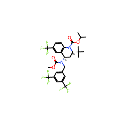 COC(=O)N(Cc1cc(C(F)(F)F)cc(C(F)(F)F)c1)[C@H]1C[C@@H](C(C)(C)C)N(C(=O)OC(C)C)c2ccc(C(F)(F)F)cc21